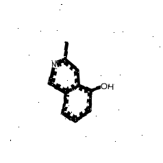 Cc1cc2c(O)cccc2cn1